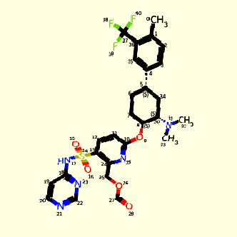 Cc1ccc([C@H]2CC[C@H](Oc3ccc(S(=O)(=O)Nc4ccncn4)c(COC=O)n3)[C@@H](N(C)C)C2)cc1C(F)(F)F